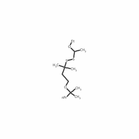 CCCC(C)(C)OCCC(C)(C)SSC(C)OCC